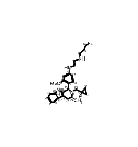 COc1cc(NCCNCCCF)ccc1[C@@H]1c2[nH]c3ccccc3c2C[C@@H](C)N1CC1(F)CC1